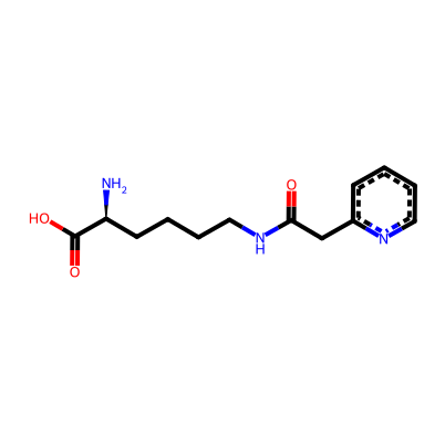 N[C@@H](CCCCNC(=O)Cc1ccccn1)C(=O)O